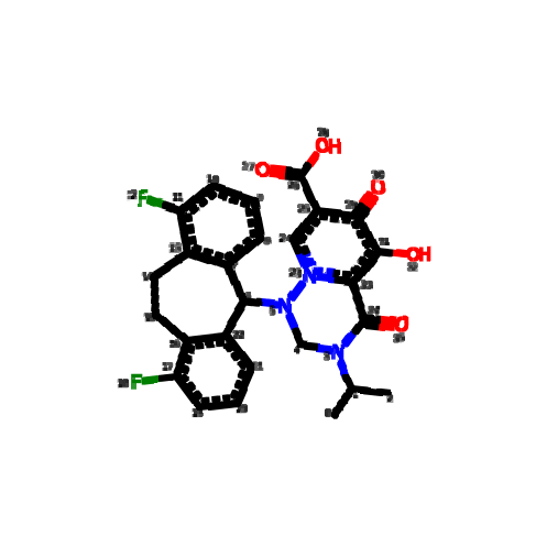 CC(C)N1CN(C2c3cccc(F)c3CCc3c(F)cccc32)n2cc(C(=O)O)c(=O)c(O)c2C1=O